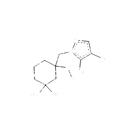 [CH2]COC1(Cn2ncc(Br)c2C)CCCC(C)(C)C1